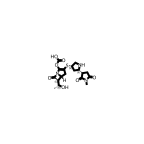 C[C@@H](O)[C@H]1C(=O)N2C(OC(=O)O)=C(S[C@@H]3CN[C@H](C4CC(=O)N(C)C4=O)C3)C[C@H]12